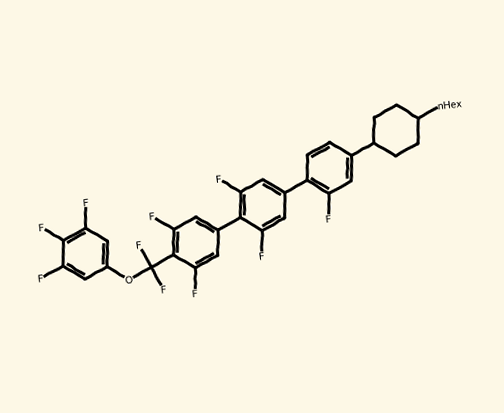 CCCCCCC1CCC(c2ccc(-c3cc(F)c(-c4cc(F)c(C(F)(F)Oc5cc(F)c(F)c(F)c5)c(F)c4)c(F)c3)c(F)c2)CC1